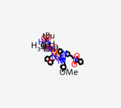 COc1ccc(Cn2nnc(-c3c(N4CCC(=CCN5C(=O)c6ccccc6C5=O)CC4)ccc(S(=O)(=O)NC[C@@H](CNC(=O)OC(C)(C)C)O[Si](C)(C)C(C)(C)C)c3S(=O)(=O)N(Cc3ccccc3)Cc3ccccc3)n2)cc1